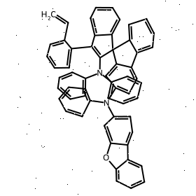 C=Cc1ccccc1C1=C(N(c2ccccc2)c2ccccc2)C2(c3ccccc31)c1ccccc1-c1ccc(N(c3ccccc3)c3ccc4c(c3)oc3ccccc34)cc12